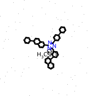 C[Si]1(C)c2ccc3ccccc3c2-c2cccc(-c3nc(-c4ccc(-c5ccccc5)cc4)nc(-c4ccc5cc(-c6ccccc6)ccc5c4)n3)c21